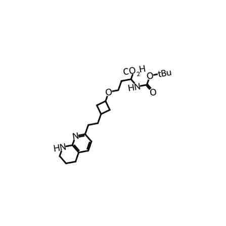 CC(C)(C)OC(=O)NC(CCOC1CC(CCc2ccc3c(n2)NCCC3)C1)C(=O)O